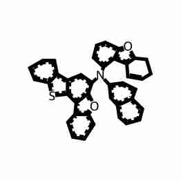 C1=Cc2c(oc3cccc(N(c4ccc5ccccc5c4)c4cc5c6ccccc6sc5c5c4oc4ccccc45)c23)CC1